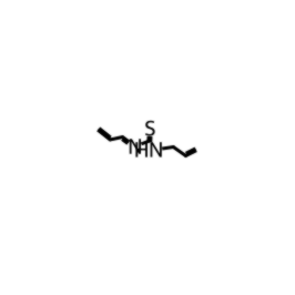 C=C/C=N/C(=S)NCC=C